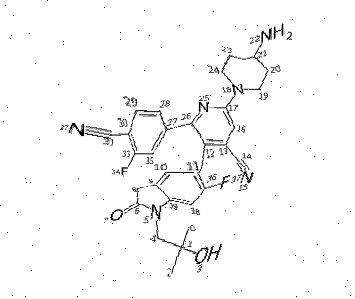 CC(C)(O)CN1C(=O)Cc2cc(-c3c(C#N)cc(N4CCC(N)CC4)nc3-c3ccc(C#N)c(F)c3)c(F)cc21